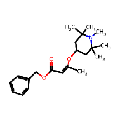 C/C(=C/C(=O)OCc1ccccc1)OC1CC(C)(C)N(C)C(C)(C)C1